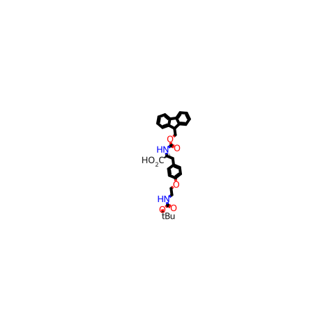 CC(C)(C)OC(=O)NCCOc1ccc(C[C@H](NC(=O)OCC2c3ccccc3-c3ccccc32)C(=O)O)cc1